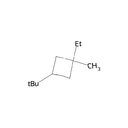 CCC1(C)CC(C(C)(C)C)C1